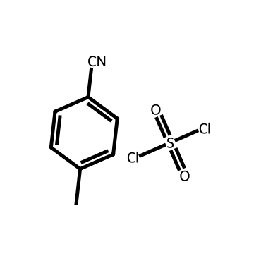 Cc1ccc(C#N)cc1.O=S(=O)(Cl)Cl